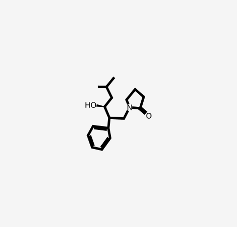 CC(C)C[C@H](O)C(CN1CCCC1=O)c1ccccc1